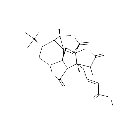 COC(=O)/C=C/CO[C@H]1C(=O)O[C@H]2C3[C@H](C(C)(C)C)CC4OC(=O)[C@]5(O)[C@@]6(O)C(C)C(=O)O[C@H]6C[C@]45C312